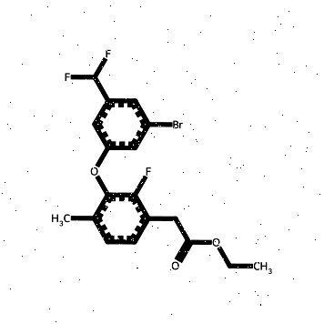 CCOC(=O)Cc1ccc(C)c(Oc2cc(Br)cc(C(F)F)c2)c1F